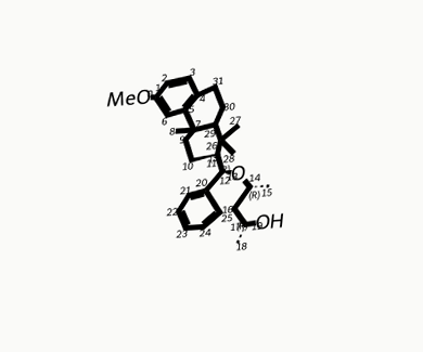 COc1ccc2c(c1)C1(C)CC[C@H]([C@@H](O[C@H](C)C[C@@H](C)O)c3ccccc3)C(C)(C)C1CC2